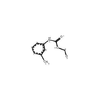 Cc1cccc(NC(=O)OCCl)c1